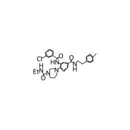 CCNC(=O)N1CCCN(c2ccc(C(=O)NCCc3ccc(C)cc3)cc2NC(=O)c2cccc(Cl)c2)CC1